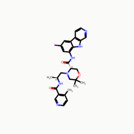 Cc1ccncc1C(=O)N[C@@H](C)CN1CC(C)(C)OC[C@H]1C(=O)Nc1cc(I)cc2c1[nH]c1cnccc12